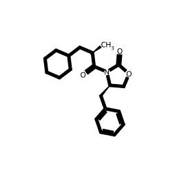 C[C@H](CC1CCCCC1)C(=O)N1C(=O)OC[C@H]1Cc1ccccc1